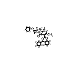 COC1(NC(=O)COc2ccccc2)C(=O)N2C(C(=O)OC(c3ccccc3)c3ccccc3)=C(C)COC21